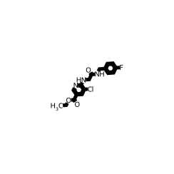 CCOC(=O)c1cnc(NCC(=O)NCc2ccc(F)cc2)c(Cl)c1